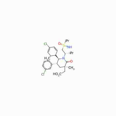 CC1C=C(Cl)C=CC1[C@@H]1[C@@H](c2cccc(Cl)c2)C[C@](C)(CC(=O)O)C(=O)N1[C@H](CS(=N)(=O)C(C)C)C(C)C